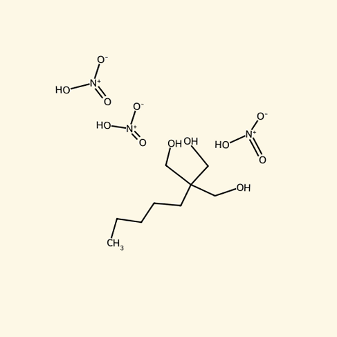 CCCCCC(CO)(CO)CO.O=[N+]([O-])O.O=[N+]([O-])O.O=[N+]([O-])O